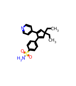 CCC1(CC)C=C(c2ccncc2)C(c2ccc(S(N)(=O)=O)cc2)=C1